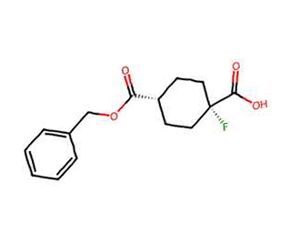 O=C(OCc1ccccc1)[C@H]1CC[C@](F)(C(=O)O)CC1